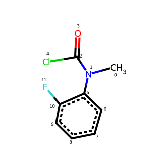 CN(C(=O)Cl)c1ccccc1F